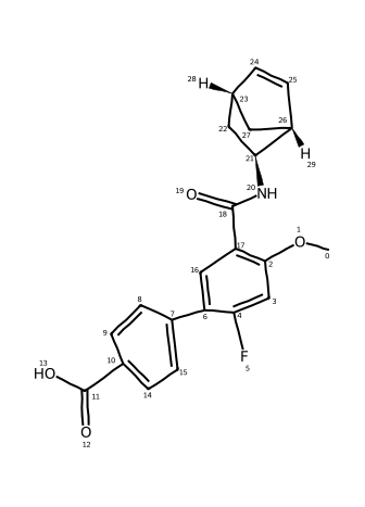 COc1cc(F)c(-c2ccc(C(=O)O)cc2)cc1C(=O)N[C@H]1C[C@@H]2C=C[C@H]1C2